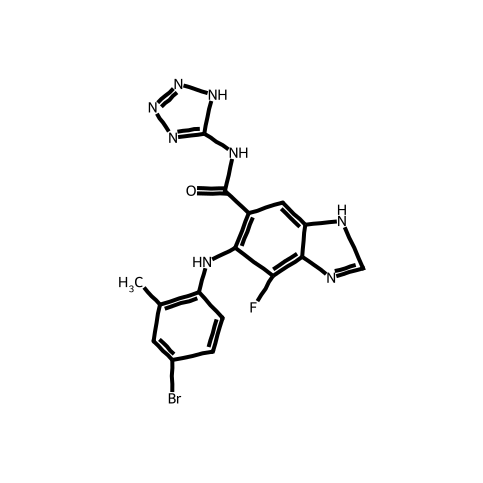 Cc1cc(Br)ccc1Nc1c(C(=O)Nc2nnn[nH]2)cc2[nH]cnc2c1F